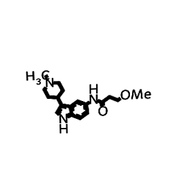 COCCC(=O)Nc1ccc2[nH]cc(C3CCN(C)CC3)c2c1